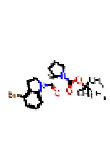 CC(C)(C)OC(=O)N1CCC[C@H]1C(=O)N1CCc2c(Br)cccc21